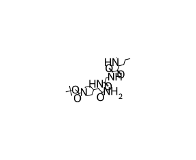 CCCC(NC)C(=O)C(=O)NCC(=O)NC(C(N)=O)C1CCN(C(=O)OC(C)(C)C)CC1